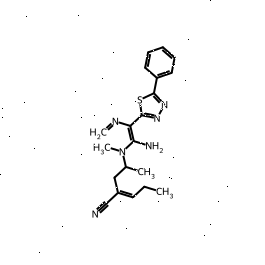 C=N/C(=C(/N)N(C)C(C)C/C(C#N)=C\CC)c1nnc(-c2ccccc2)s1